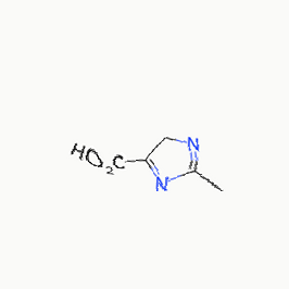 CC1=NCC(C(=O)O)=N1